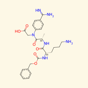 C[C@H](NC(=O)[C@H](CCCCN)NC(=O)OCc1ccccc1)C(=O)N(CC(=O)O)c1ccc(C(=N)N)cc1